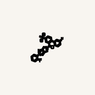 CS(=O)(=O)c1ccc(-c2cccc(F)c2)c(C(=O)N2Cc3cn(-c4ccccc4F)nc3C2)c1